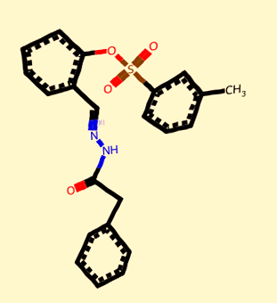 Cc1cccc(S(=O)(=O)Oc2ccccc2/C=N/NC(=O)Cc2ccccc2)c1